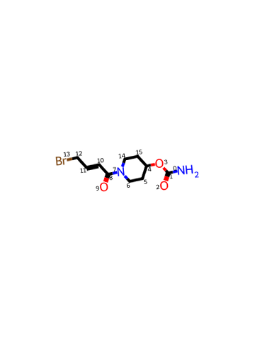 NC(=O)OC1CCN(C(=O)/C=C/CBr)CC1